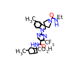 CCNC(=O)N1CCC2(CC1)CN(c1ncc(C(=O)NC3(C(=O)O)CC4CC(C)CC3C4)c(C(F)(F)F)n1)c1ccc(C)cc12